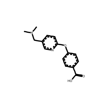 CN(C)Cc1ccc(Oc2ccc(C(=O)O)cc2)nc1